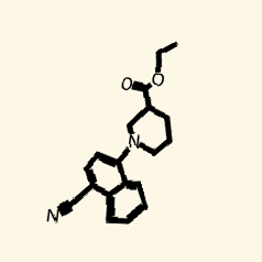 CCOC(=O)C1CCCN(c2ccc(C#N)c3ccccc23)C1